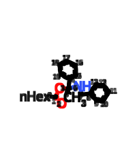 CCCCCCC(=O)OC(C)(NCc1ccccc1)c1ccccc1